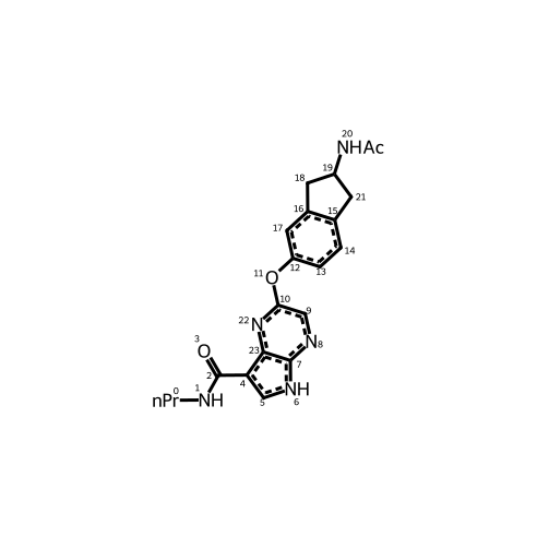 CCCNC(=O)c1c[nH]c2ncc(Oc3ccc4c(c3)CC(NC(C)=O)C4)nc12